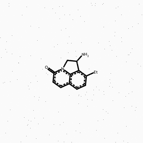 CCc1ccc2ccc(=O)n3c2c1C(N)C3